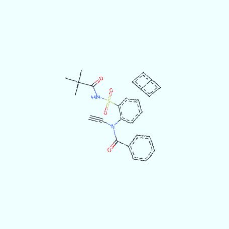 C#CN(C(=O)c1ccccc1)c1ccccc1S(=O)(=O)NC(=O)C(C)(C)C.c1cc2ccc1-2